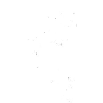 CNC(=O)c1n[nH]c2cc(-c3cc(C(=O)NC(C)c4ccccc4OC(F)(F)F)c(OC)nc3C)ccc12